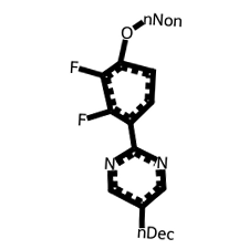 CCCCCCCCCCc1cnc(-c2ccc(OCCCCCCCCC)c(F)c2F)nc1